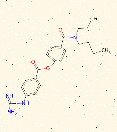 CCCCN(CCC)C(=O)c1ccc(OC(=O)c2ccc(NC(=N)N)cc2)cc1